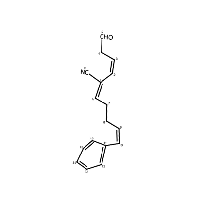 N#CC(/C=C\CC=O)=C/CC/C=C\c1ccccc1